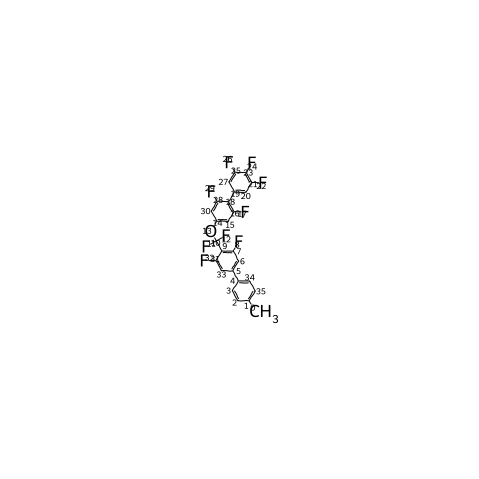 Cc1ccc(-c2cc(F)c(C(F)(F)Oc3cc(F)c(-c4cc(F)c(F)c(F)c4)c(F)c3)c(F)c2)cc1